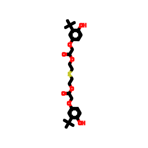 CC(C)(C)c1cc(OCC(=O)OCCSCCOC(=O)COc2ccc(O)c(C(C)(C)C)c2)ccc1O